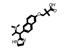 CC(C(c1ccc2cc(OCC(C)(C)C(=O)O)ccc2c1)c1ncc[nH]1)N(C)C